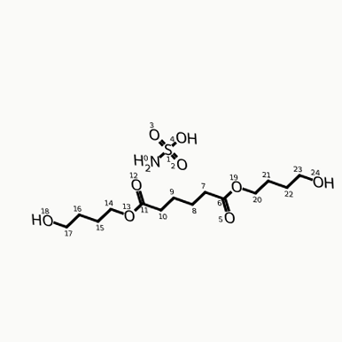 NS(=O)(=O)O.O=C(CCCCC(=O)OCCCCO)OCCCCO